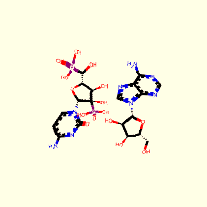 Nc1ccn([C@@H]2O[C@H](C(O)P(=O)(O)O)[C@@H](O)[C@]2(O)P(=O)(O)O)c(=O)n1.Nc1ncnc2c1ncn2[C@@H]1O[C@H](CO)[C@@H](O)[C@H]1O